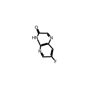 O=c1cnc2cc(F)cnc2[nH]1